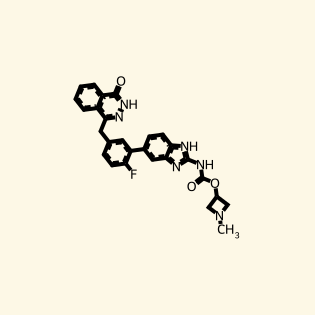 CN1CC(OC(=O)Nc2nc3cc(-c4cc(Cc5n[nH]c(=O)c6ccccc56)ccc4F)ccc3[nH]2)C1